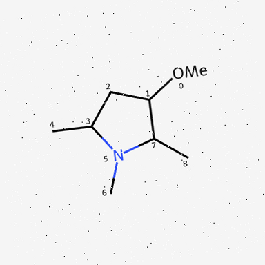 COC1CC(C)N(C)C1C